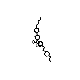 CCCCCC1CCC(C2CCC(C(=O)O)(c3ccc(CCC4CCC(CCC)CC4)cc3)CC2)CC1